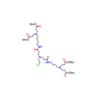 COC(=O)CCN(CCCCNC(=O)CCN(CCCl)CCC(=O)NCCCCN(CCC(=O)OC)CCC(=O)OC)CCC(=O)OC